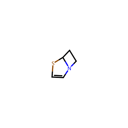 C1=CN2CCC2S1